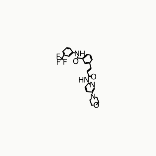 O=C(C=Cc1cccc(C(=O)Nc2cccc(C(F)(F)F)c2)c1)Nc1ccc(N2CCOCC2)cn1